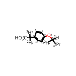 [2H]C([2H])(C(=O)O)c1ccc(OC([2H])([2H])C(C)C)cc1